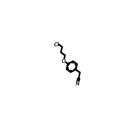 N#CCc1ccc(OCCCCl)cc1